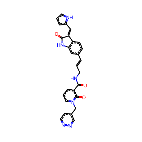 O=C1Nc2cc(C=CCNC(=O)c3cccn(Cc4ccnnc4)c3=O)ccc2C1=Cc1ccc[nH]1